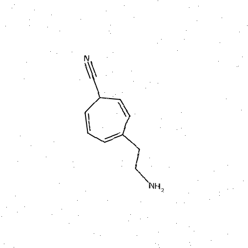 N#CC1C=CC=C(CCN)C=C1